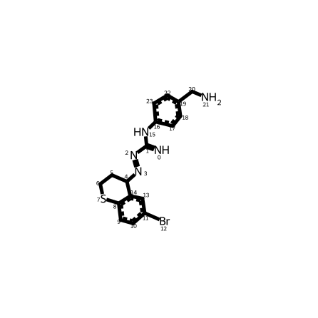 N=C(N=NC1CCSc2ccc(Br)cc21)Nc1ccc(CN)cc1